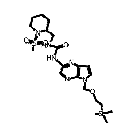 C[Si](C)(C)CCOCn1ccc2nc(NC(=O)NCC3CCCCN3S(C)(=O)=O)cnc21